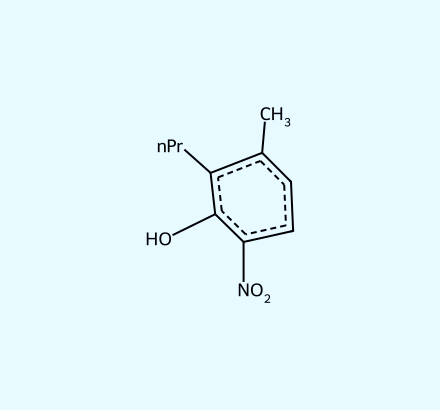 CCCc1c(C)ccc([N+](=O)[O-])c1O